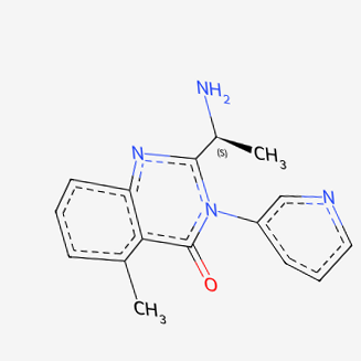 Cc1cccc2nc([C@H](C)N)n(-c3cccnc3)c(=O)c12